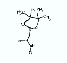 CC(C)[C@@H](NCl)B1OC(C)(C)C(C)(C)O1